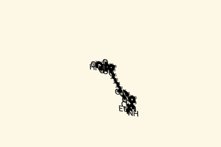 CCc1c[nH]c2ncc(-c3cccc(N4CCN(C(=O)CCCCCCCOc5cccc6c5C(=O)N(C5CCC(=O)NC5=O)C6=O)CC4=O)c3)c(Cl)c12